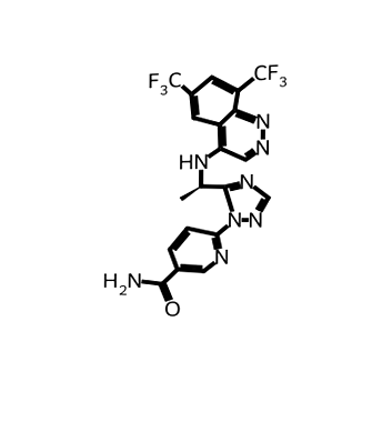 C[C@@H](Nc1cnnc2c(C(F)(F)F)cc(C(F)(F)F)cc12)c1ncnn1-c1ccc(C(N)=O)cn1